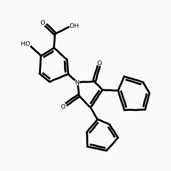 O=C(O)c1cc(N2C(=O)C(c3ccccc3)=C(c3ccccc3)C2=O)ccc1O